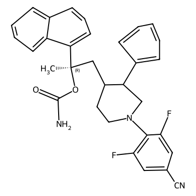 C[C@](CC1CCN(c2c(F)cc(C#N)cc2F)CC1c1ccccc1)(OC(N)=O)c1cccc2ccccc12